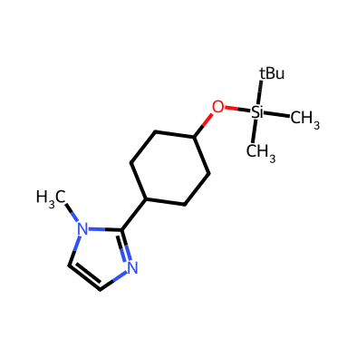 Cn1ccnc1C1CCC(O[Si](C)(C)C(C)(C)C)CC1